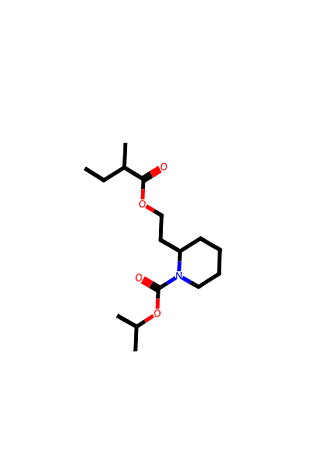 CCC(C)C(=O)OCCC1CCCCN1C(=O)OC(C)C